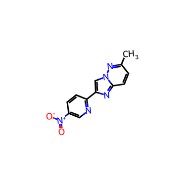 Cc1ccc2nc(-c3ccc([N+](=O)[O-])cn3)cn2n1